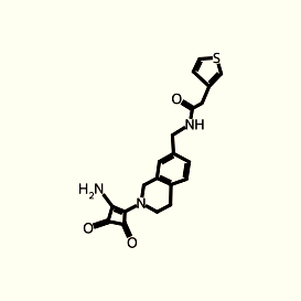 Nc1c(N2CCc3ccc(CNC(=O)Cc4ccsc4)cc3C2)c(=O)c1=O